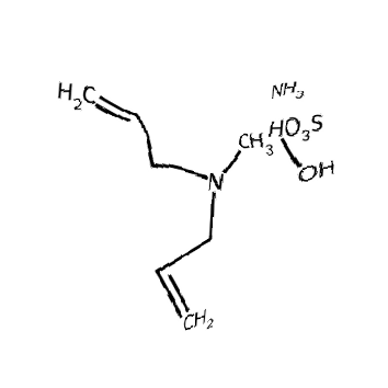 C=CCN(C)CC=C.N.O=S(=O)(O)O